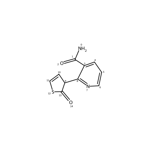 NC(=O)c1cccnc1C1C=CSC1=O